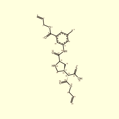 C=CCOC(=O)c1cc(F)cc(NC(=O)C2C[C@@H]([C@@H](C(=O)OCC=C)C(O)=S)CN2)c1